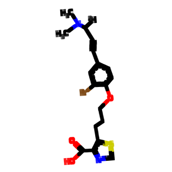 [2H]C(C#Cc1ccc(OCCCc2scnc2C(=O)O)c(Br)c1)N(C)C